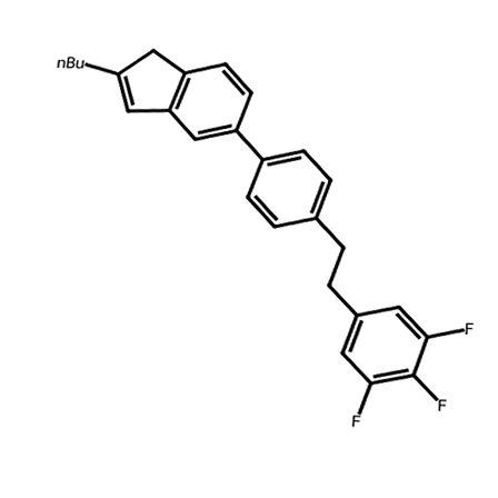 CCCCC1=Cc2cc(-c3ccc(CCc4cc(F)c(F)c(F)c4)cc3)ccc2C1